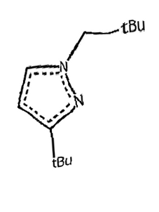 CC(C)(C)Cn1ccc(C(C)(C)C)n1